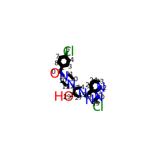 O=C(c1ccc(Cl)cc1)N1CCN([C@@H]2CN(c3nc(Cl)nc4ncccc34)C[C@H]2O)CC1